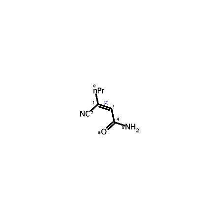 CCC/C(C#N)=C/C(N)=O